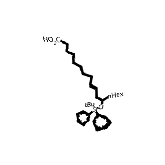 CCCCCCC(C/C=C/CCCCCCCC(=O)O)O[Si](c1ccccc1)(c1ccccc1)C(C)(C)C